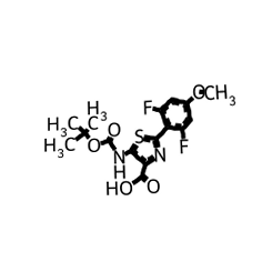 COc1cc(F)c(-c2nc(C(=O)O)c(NC(=O)OC(C)(C)C)s2)c(F)c1